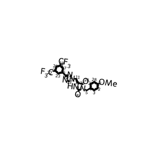 COc1ccc(CN2C(=O)N/C(=C\n3cnc(-c4cc(C(F)(F)F)cc(C(F)(F)F)c4)n3)C2=O)cc1